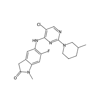 CC1CCCN(c2ncc(Cl)c(Nc3cc4c(cc3F)N(C)C(=O)C4)n2)C1